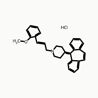 COc1ccccc1C=CCN1CCC(=C2c3ccccc3C=Cc3ccccc32)CC1.Cl